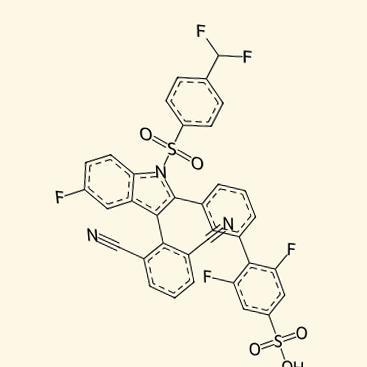 N#Cc1cccc(C#N)c1-c1c(-c2cccc(-c3c(F)cc(S(=O)(=O)O)cc3F)c2)n(S(=O)(=O)c2ccc(C(F)F)cc2)c2ccc(F)cc12